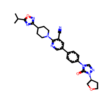 CC(C)c1nc(C2CCN(c3ncc(-c4ccc(-n5cnn([C@H]6CCOC6)c5=O)cc4)cc3C#N)CC2)no1